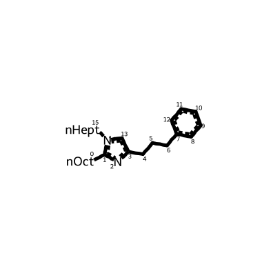 CCCCCCCCc1nc(CCCc2ccccc2)cn1CCCCCCC